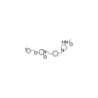 CC(=O)NC1CCN(Cc2ccc(CCn3ccc(OCc4ccsc4)cc3=O)cc2)CC1